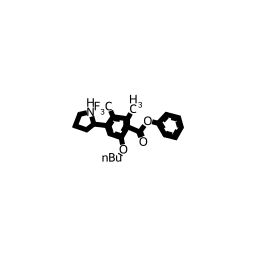 CCCCOc1cc(C2CCCN2)c(C(F)(F)F)c(C)c1C(=O)Oc1ccccc1